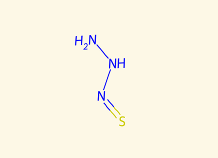 NNN=S